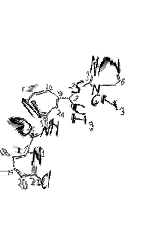 CC(Sc1nncn1C)c1ccnc(NC(=O)c2cccc(Cl)n2)c1